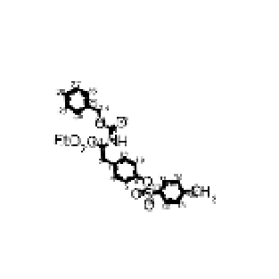 CCOC(=O)C(Cc1ccc(OS(=O)(=O)c2ccc(C)cc2)cc1)NC(=O)OCc1ccccc1